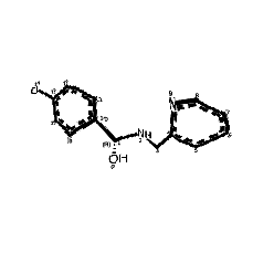 O[C@@H](NCc1ccccn1)c1ccc(Cl)cc1